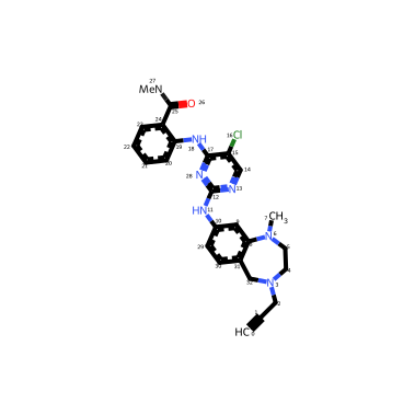 C#CCN1CCN(C)c2cc(Nc3ncc(Cl)c(Nc4ccccc4C(=O)NC)n3)ccc2C1